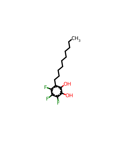 CCCCCCCCCCc1c(O)c(O)c(F)c(F)c1F